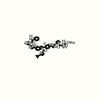 COC(=O)N[C@H](C(=O)N1CCC[C@H]1c1ncc(-c2cc(F)c3c(c2)O[C@@H](c2ccc(C4CC4)s2)n2c-3cc3cc(-c4cnc([C@@H]5C[Si](C)(C)CN5C(=O)C(N)c5ccccc5)[nH]4)ccc32)[nH]1)C(C)C